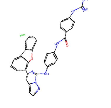 Cl.N=C(N)Nc1ccc(C(=O)Nc2ccc(Nc3nc(-c4cccc5c4oc4ccccc45)cc4ccnn34)cc2)cc1